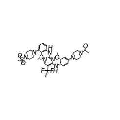 COc1cc(N2CCN(C(C)=O)CC2)ccc1Nc1nc(Nc2cccc(N3CCN(S(C)(=O)=O)CC3)c2OC)ncc1C(F)(F)F